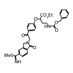 CCOC(=O)C(CCNC(=O)OCc1ccccc1)Oc1ccc(C(=O)CN2Cc3cc(C(=N)SC)ccc3C2=O)cc1